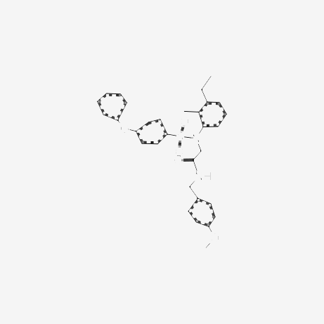 CCc1cccc(N(CC(=O)NCc2ccc(OC)cc2)S(=O)(=O)c2ccc(Oc3ccccc3)cc2)c1C